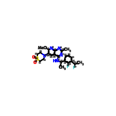 COc1nc2nc(C)nc(N[C@H](C)c3cccc(C(C)F)c3F)c2cc1N1CCS(=O)(=O)CC1